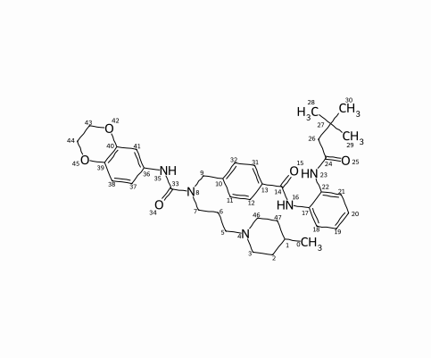 CC1CCN(CCCN(Cc2ccc(C(=O)Nc3ccccc3NC(=O)CC(C)(C)C)cc2)C(=O)Nc2ccc3c(c2)OCCO3)CC1